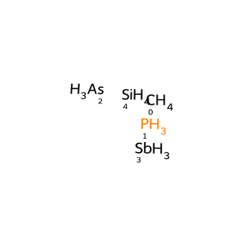 C.P.[AsH3].[SbH3].[SiH4]